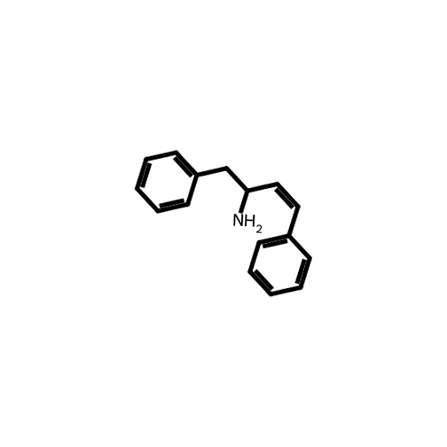 NC(/C=C\c1ccccc1)Cc1ccccc1